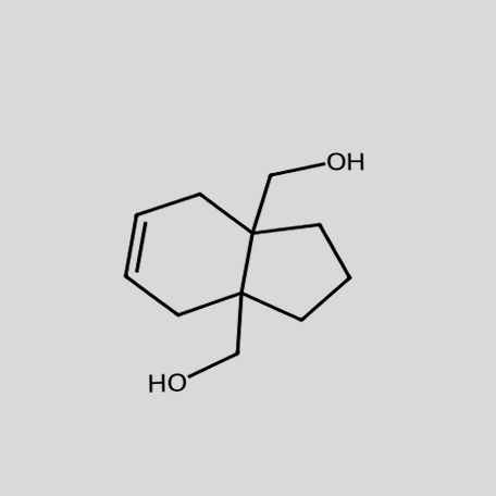 OCC12CC=CCC1(CO)CCC2